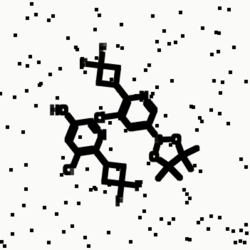 CC1(C)OB(c2cnc(C3CC(F)(F)C3)c(Cl)c2)OC1(C)C.Oc1cnc(C2CC(F)(F)C2)c(Cl)c1